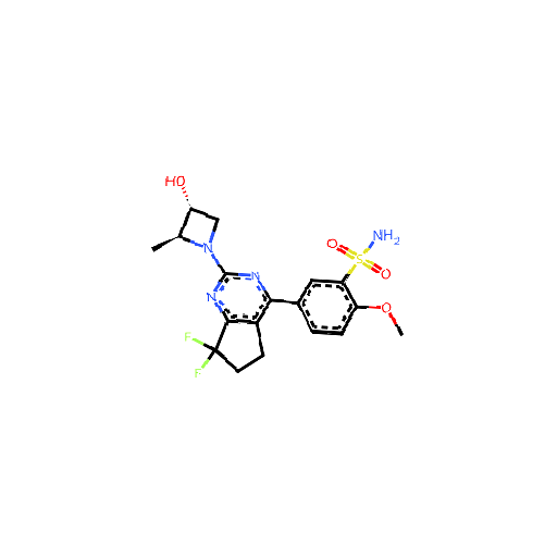 COc1ccc(-c2nc(N3C[C@@H](O)[C@@H]3C)nc3c2CCC3(F)F)cc1S(N)(=O)=O